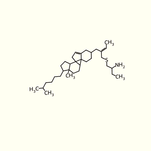 C/C=C(/CSCC(N)CC)CC1CCC23C(=CCC24C2CCC(CCCCC(C)C)C2(C)CCC34)C1